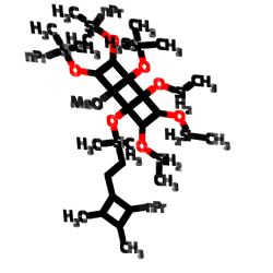 CCCC1C(C)C(C)C1CC[Si](C)(C)OC12C3(OC)C4(O[Si](C)(C)C)C1(O[SiH2]C)C1(O[SiH2]C)C2(O[SiH2]C)C3(O[Si](C)(C)CCC)C14O[Si](C)(C)CCC